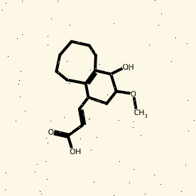 COC1CC(/C=C/C(=O)O)C2=C(CCCCCC2)C1O